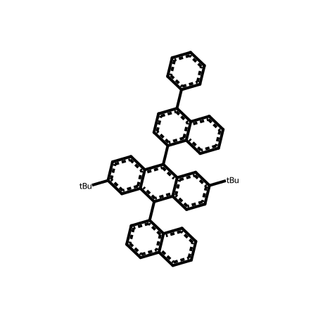 CC(C)(C)c1ccc2c(-c3ccc(-c4ccccc4)c4ccccc34)c3cc(C(C)(C)C)ccc3c(-c3cccc4ccccc34)c2c1